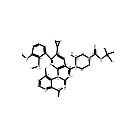 COc1cccc(-c2nc3c(cc2C2CC2)c(N2CCN(C(=O)OC(C)(C)C)C[C@@H]2C)nc(=O)n3-c2c(C)ccnc2C(C)C)c1OC